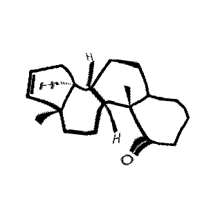 C[C@@]12C=CC[C@H]1[C@@H]1CCC3CCCC(=O)[C@]3(C)[C@@H]1CC2